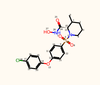 CC1CCCN(S(=O)(=O)c2ccc(Oc3ccc(Cl)cc3)cc2)[C@@H]1C(=O)NO